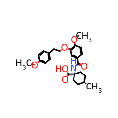 COc1ccc(CCOc2cc(C(=O)N[C@]3(C(=O)O)CC[C@@H](C)CC3)ccc2OC)cc1